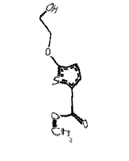 COC(=O)c1ccc(OCCO)s1